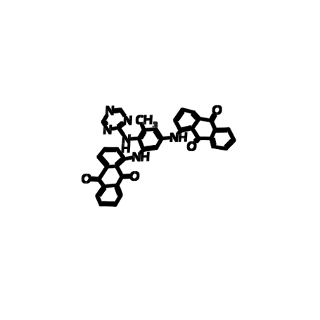 Cc1cc(Nc2cccc3c2C(=O)c2ccccc2C3=O)cc(Nc2cccc3c2C(=O)c2ccccc2C3=O)c1Nc1ncncn1